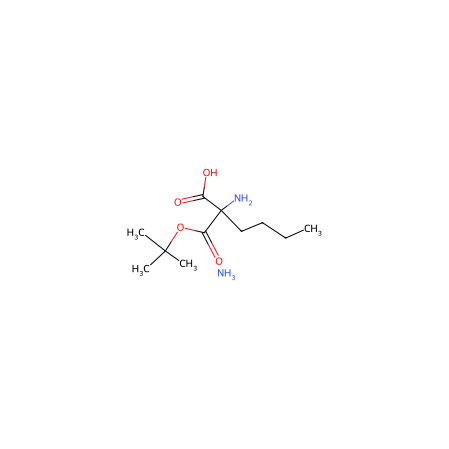 CCCCC(N)(C(=O)O)C(=O)OC(C)(C)C.N